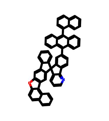 c1ccc2c(c1)-c1cc3oc4ccc5ccccc5c4c3cc1C21c2cc(-c3c4ccccc4c(-c4cccc5ccccc45)c4ccccc34)ccc2-c2ncccc21